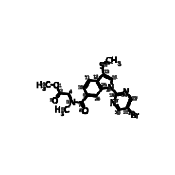 COC(=O)CN(C)C(=O)c1ccc2c(SC)cn(-c3ncc(Br)cn3)c2c1